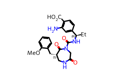 CC[C@@H](NC(=O)N1CC(=O)NC[C@H](Cc2ccccc2OC)C1=O)c1ccc(C(=O)O)c(N)c1